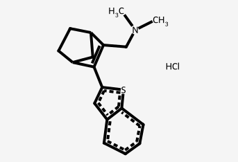 CN(C)CC1=C(c2cc3ccccc3s2)C2CCC1C2.Cl